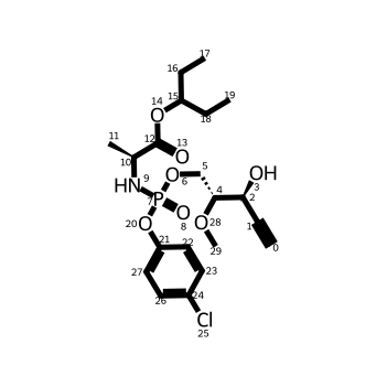 C#C[C@H](O)[C@@H](COP(=O)(N[C@@H](C)C(=O)OC(CC)CC)Oc1ccc(Cl)cc1)OC